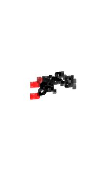 CC(C)CCC[C@@H](C)[C@H]1CC[C@H]2[C@@H]3[C@H](Br)[C@@H](O)C4C[C@@H](O)CC[C@]4(C)[C@H]3CC[C@]12C